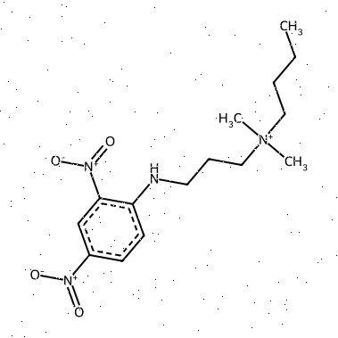 CCCC[N+](C)(C)CCCNc1ccc([N+](=O)[O-])cc1[N+](=O)[O-]